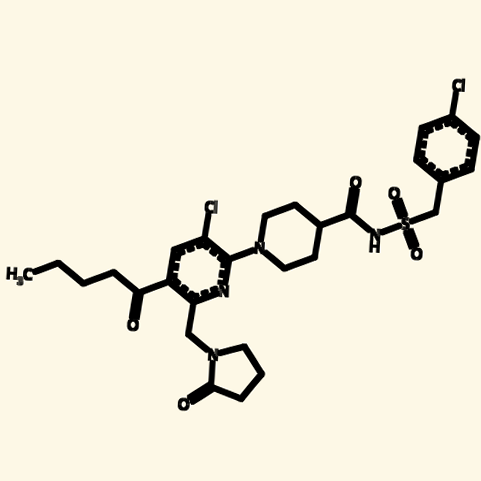 CCCCC(=O)c1cc(Cl)c(N2CCC(C(=O)NS(=O)(=O)Cc3ccc(Cl)cc3)CC2)nc1CN1CCCC1=O